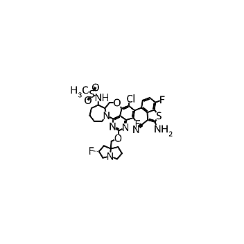 CS(=O)(=O)NC1CCCCN2c3nc(OCC45CCCN4C[C@H](F)C5)nc4c(F)c(-c5ccc(F)c6sc(N)c(C#N)c56)c(Cl)c(c34)OCC12